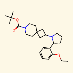 CCOc1ccccc1C1CCCN1C1CC2(CCN(C(=O)OC(C)(C)C)CC2)C1